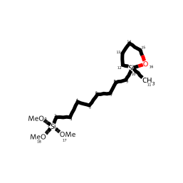 CO[Si](CCCCCCCC[Si]1(C)CCCCO1)(OC)OC